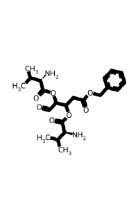 CC(C)[C@H](N)C(=O)OC([C]=O)C(CC(=O)OCc1ccccc1)OC(=O)[C@@H](N)C(C)C